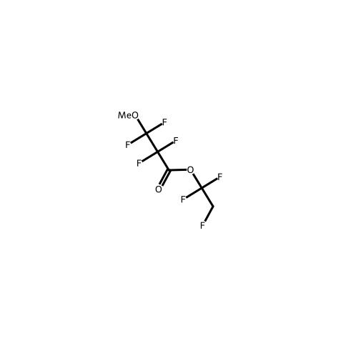 COC(F)(F)C(F)(F)C(=O)OC(F)(F)CF